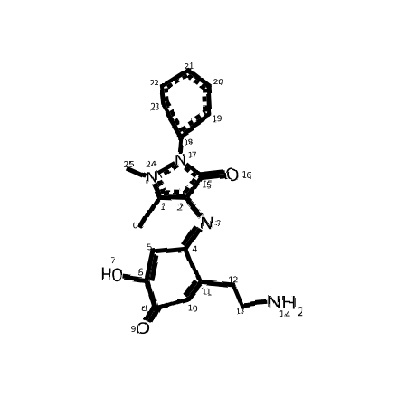 Cc1c(/N=C2\C=C(O)C(=O)C=C2CCN)c(=O)n(-c2ccccc2)n1C